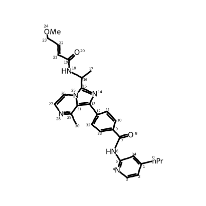 CCCc1ccnc(NC(=O)c2ccc(-c3nc(C(C)NC(=O)C=CCOC)n4ccnc(C)c34)cc2)c1